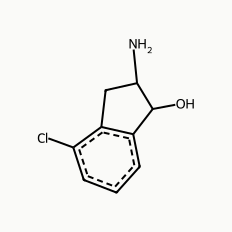 NC1Cc2c(Cl)cccc2C1O